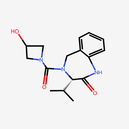 CC(C)[C@H]1C(=O)Nc2ccccc2CN1C(=O)N1CC(O)C1